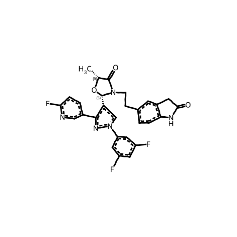 C[C@H]1O[C@@H](c2cn(-c3cc(F)cc(F)c3)nc2-c2ccc(F)nc2)N(CCc2ccc3c(c2)CC(=O)N3)C1=O